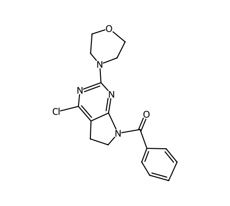 O=C(c1ccccc1)N1CCc2c(Cl)nc(N3CCOCC3)nc21